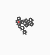 CC1(C)c2ccccc2-c2ccc(N(c3ccc4c(c3)C3(c5ccccc5-c5ccccc53)c3ccccc3-4)c3cc(-c4ccccc4)cc4oc5cc6ccccc6cc5c34)cc21